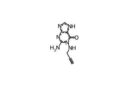 C#CCNn1c(N)nc2nc[nH]c2c1=O